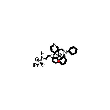 COC1(OCCNS(=O)(=O)C(C)C)C=CN=CC1(CN(c1ccccc1)c1ccccc1)OC1CCCC1